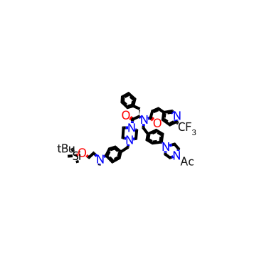 CC(=O)N1CCN(c2ccc(CN(C(=O)/C=C\c3ccc(C(F)(F)F)nc3)[C@@H](Cc3ccccc3)C(=O)N3CCN(Cc4ccc(N(C)CCO[Si](C)(C)C(C)(C)C)cc4)CC3)cc2)CC1